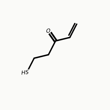 C=CC(=O)CCS